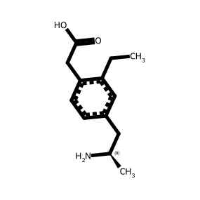 CCc1cc(C[C@@H](C)N)ccc1CC(=O)O